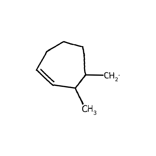 [CH2]C1CCCC=CC1C